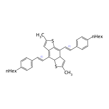 CCCCCCc1ccc(/C=C/C2=c3cc(C)sc3=C(/C=C/c3ccc(CCCCCC)cc3)C3C=C(C)SC23)cc1